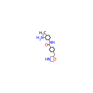 Cc1ccc(NC(=O)c2ccc(CC3CNCCO3)cc2)cc1N